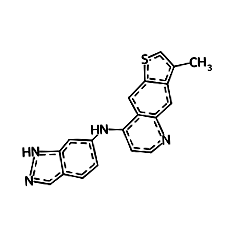 Cc1csc2cc3c(Nc4ccc5cn[nH]c5c4)ccnc3cc12